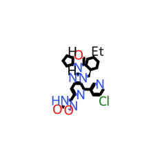 CC[C@H]1CC[C@H](Cn2c(N3CCO[C@H]4CCC[C@@H]43)nc3cc(-c4noc(=O)[nH]4)nc(-c4cncc(Cl)c4)c32)CC1